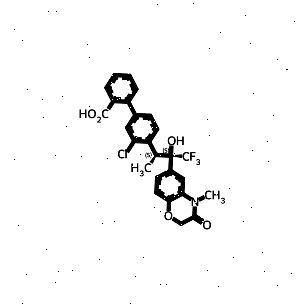 C[C@@H](c1ccc(-c2ccccc2C(=O)O)cc1Cl)[C@](O)(c1ccc2c(c1)N(C)C(=O)CO2)C(F)(F)F